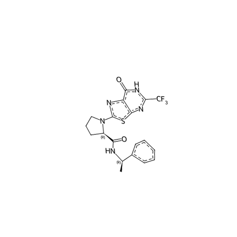 C[C@@H](NC(=O)[C@H]1CCCN1c1nc2c(=O)[nH]c(C(F)(F)F)nc2s1)c1ccccc1